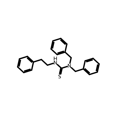 S=C(NCCc1ccccc1)N(Cc1ccccc1)Cc1ccccc1